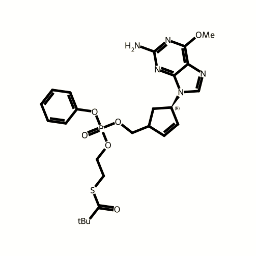 COc1nc(N)nc2c1ncn2[C@H]1C=CC(COP(=O)(OCCSC(=O)C(C)(C)C)Oc2ccccc2)C1